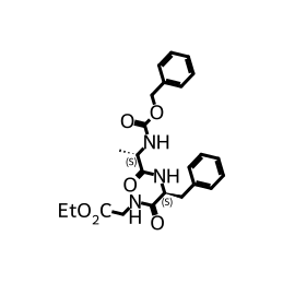 CCOC(=O)CNC(=O)[C@H](Cc1ccccc1)NC(=O)[C@H](C)NC(=O)OCc1ccccc1